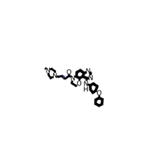 CN1CCN(C/C=C/C(=O)N2CCOc3c2ccc2ncnc(Nc4ccc(Oc5ccccc5)cc4)c32)CC1